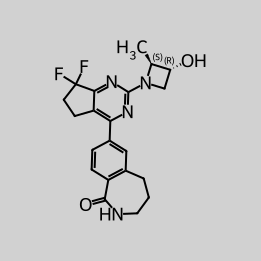 C[C@H]1[C@H](O)CN1c1nc(-c2ccc3c(c2)CCCNC3=O)c2c(n1)C(F)(F)CC2